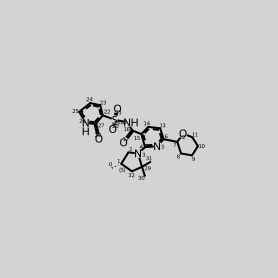 C[C@@H]1CN(c2nc(C3CCCCO3)ccc2C(=O)NS(=O)(=O)c2ccc[nH]c2=O)C(C)(C)C1